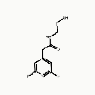 O=C(Cc1cc(F)cc(F)c1)NCCO